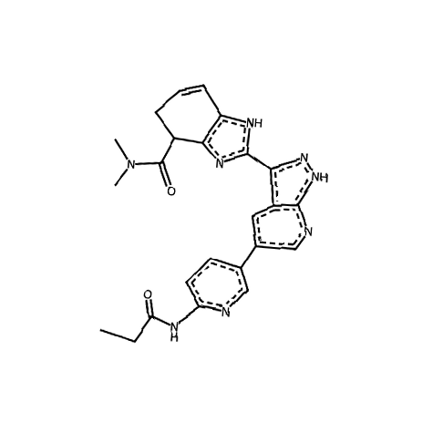 CCC(=O)Nc1ccc(-c2cnc3[nH]nc(-c4nc5c([nH]4)C=CCC5C(=O)N(C)C)c3c2)cn1